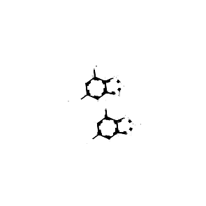 O=S(=O)(O)c1cc(O)c2nn[nH]c2c1.O=S(=O)(O)c1cc(O)c2nn[nH]c2c1